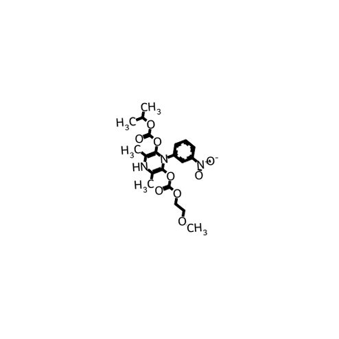 COCCOC(=O)OC1=C(C)NC(C)=C(OC(=O)OC(C)C)N1c1cccc([N+](=O)[O-])c1